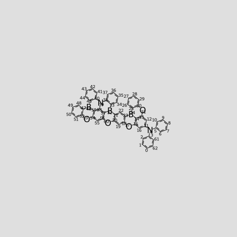 c1ccc(N(c2ccccc2)c2cc3c4c(c2)Oc2cc5c(cc2B4c2ccccc2O3)B2c3ccccc3N3c4ccccc4B4c6ccccc6Oc6cc(c2c3c64)O5)cc1